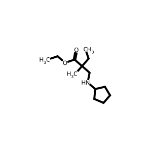 CCOC(=O)C(C)(CC)CNC1CCCC1